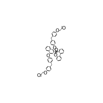 O=P1(c2cc(Oc3ccc(Cc4ccc(OCC5CO5)cc4)cc3)c3ccccc3c2Oc2ccc(Cc3ccc(OCC4CO4)cc3)cc2)Oc2ccccc2-c2ccccc21